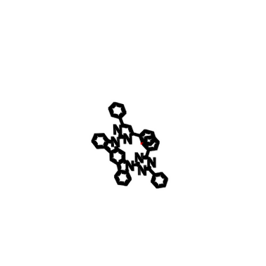 c1ccc(-c2cc(-c3ccccc3)nc(-n3c4ccccc4c4cc5c6ccccc6n(-c6nc(-c7ccccc7)nc(-c7ccccc7)n6)c5cc43)n2)cc1